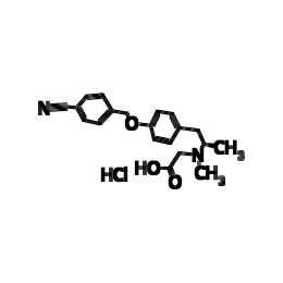 C[C@H](Cc1ccc(OCc2ccc(C#N)cc2)cc1)N(C)CC(=O)O.Cl